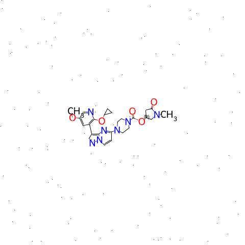 COc1cnc(OC2CC2)c(-c2cnn3ccc(N4CCN(C(=O)O[C@@H]5CC(=O)N(C)C5)CC4)nc23)c1